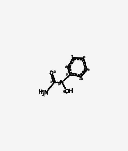 NC(=O)N(O)c1ccccc1